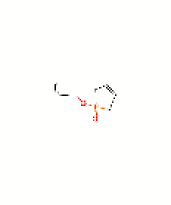 C=CCOP1(=O)CC=CC1